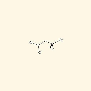 CC[SiH2]CC(Cl)Cl